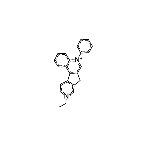 CC[n+]1ccc2c(c1)Cc1c[n+](-c3ccccc3)c3ccccc3c1-2